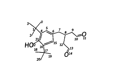 CC(C)(C)c1cc(CC(CC=O)CC=O)cc(C(C)(C)C)c1O